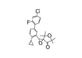 CC1(C)OC(C)(C)C2(OC2c2cc(-c3ccc(Cl)cc3F)ccc2C2CC2)C1=O